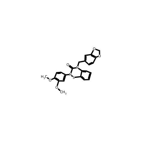 COc1ccc(N2Sc3ccccc3N(Cc3ccc4c(c3)OCO4)C2=O)cc1OC